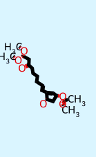 COC(C)OC1C=C(/C=C/CCCCC(=O)CC(OC)OC)C(=O)C1